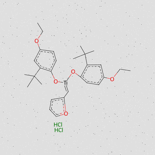 CCOc1ccc([O][Ti](=[CH]c2ccco2)[O]c2ccc(OCC)cc2C(C)(C)C)c(C(C)(C)C)c1.Cl.Cl